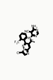 C[C@H](Nc1ncnc(N)c1C#N)c1cc2ncc(Cl)n2nc1-c1ccccc1C(F)(F)F